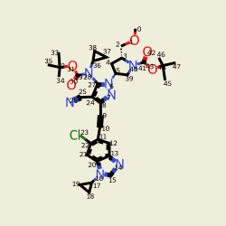 COC[C@H]1C[C@H](n2nc(C#Cc3cc4ncn(C5CC5)c4cc3Cl)c(C#N)c2N(C(=O)OC(C)(C)C)C2CC2)CN1C(=O)OC(C)(C)C